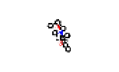 Cc1ccccc1N(c1cc2oc3cc4ccccc4cc3c2c2ccccc12)c1cccc2c1oc1c(-c3ccccc3)cccc12